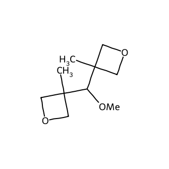 COC(C1(C)COC1)C1(C)COC1